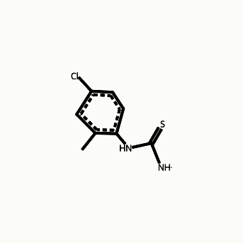 Cc1cc(Cl)ccc1NC([NH])=S